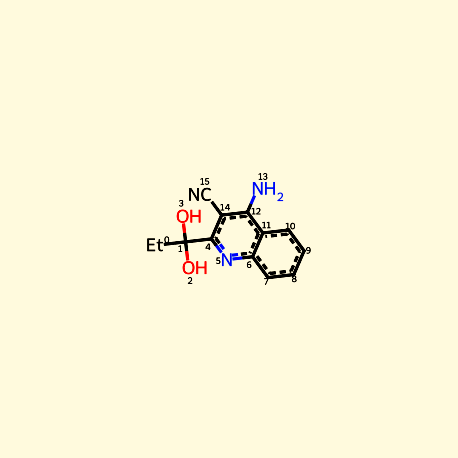 CCC(O)(O)c1nc2ccccc2c(N)c1C#N